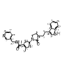 Cc1nc(N2CCN(CCc3c[nH]c4ccccc34)C2=O)sc1C(=O)NCc1cccnc1